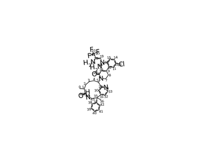 CC1CCCC(N2CCC(c3cc(Cl)ccc3N(N)/C=C(\N)C(F)(F)F)=CC2=O)c2cc(ccn2)C(C)(c2ccccc2)CNC1=O